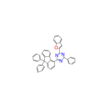 c1ccc(-c2nc(-c3cc4ccccc4o3)nc(-c3cccc4c3-c3ccccc3C4(c3ccccc3)c3ccccc3)n2)cc1